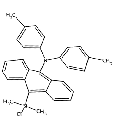 Cc1ccc(N(c2ccc(C)cc2)c2c3ccccc3c([Si](C)(C)Cl)c3ccccc23)cc1